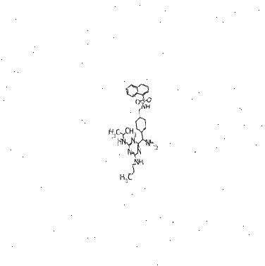 CCCNc1nc(NC(C)C)nc(C(N)C2CCC(CNS(=O)(=O)c3cccc4ccccc34)CC2)n1